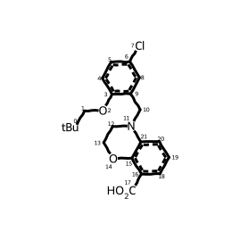 CC(C)(C)COc1ccc(Cl)cc1CN1CCOc2c(C(=O)O)cccc21